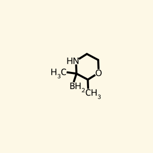 BC1(C)NCCOC1C